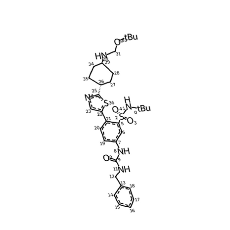 CC(C)(C)NS(=O)(=O)c1cc(NC(=O)NCc2ccccc2)ccc1-c1cnc([C@H]2CC[C@H](NCOC(C)(C)C)CC2)s1